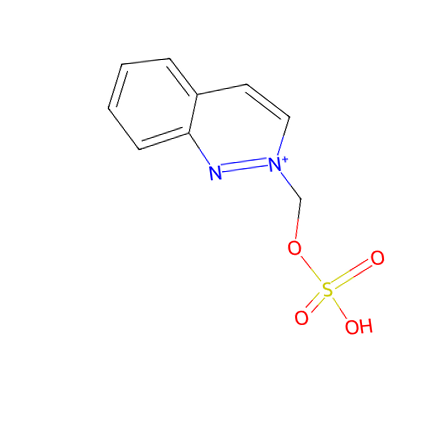 O=S(=O)(O)OC[n+]1ccc2ccccc2n1